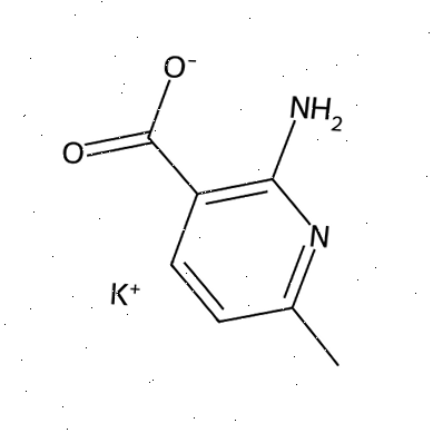 Cc1ccc(C(=O)[O-])c(N)n1.[K+]